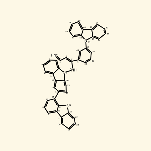 N=C/C=C(\Nn1c2ccccc2c2cc(-c3cccc4c3sc3ccccc34)ccc21)c1cccc(-n2c3ccccc3c3ccccc32)c1